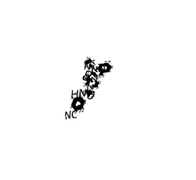 N#Cc1ccc(NC(=O)N2CCN([C@@H](CC3CCCCC3)C(=O)Nc3nccs3)C(=O)C2)cc1